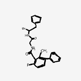 Cc1c(-c2ccccc2)ccc(F)c1C(=O)NCC(=O)NC(Cc1ccccc1)C(C)C